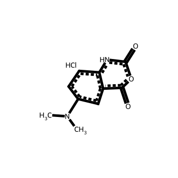 CN(C)c1ccc2[nH]c(=O)oc(=O)c2c1.Cl